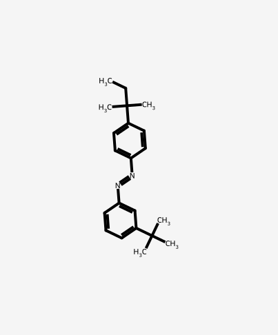 CCC(C)(C)c1ccc(/N=N/c2cccc(C(C)(C)C)c2)cc1